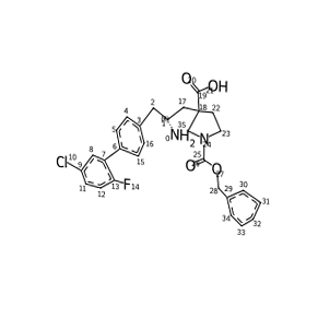 N[C@H](Cc1ccc(-c2cc(Cl)ccc2F)cc1)CC1(C(=O)O)CCN(C(=O)OCc2ccccc2)C1